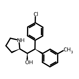 Cc1cccc([C@H](c2ccc(Cl)cc2)[C@@H](O)[C@H]2CCCN2)c1